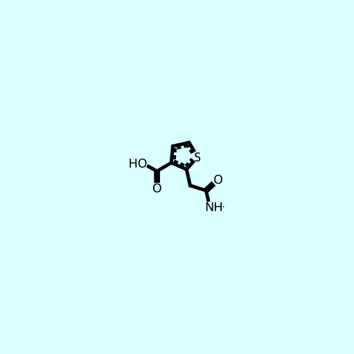 [NH]C(=O)Cc1sccc1C(=O)O